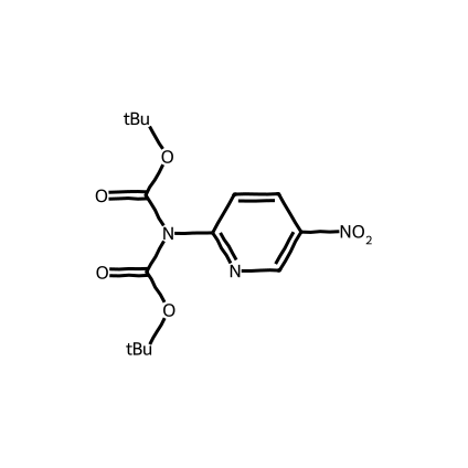 CC(C)(C)OC(=O)N(C(=O)OC(C)(C)C)c1ccc([N+](=O)[O-])cn1